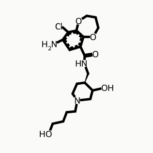 Nc1cc(C(=O)NC[C@@H]2CCN(CCCCO)CC2O)c2c(c1Cl)OCCCO2